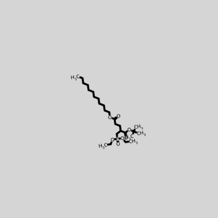 CCCCCCCCCCCCOC(=O)CCC(CP(=O)(OCC)OCC)C(=O)OC(C)(C)C